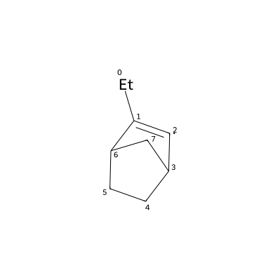 CCC1=[C]C2CCC1C2